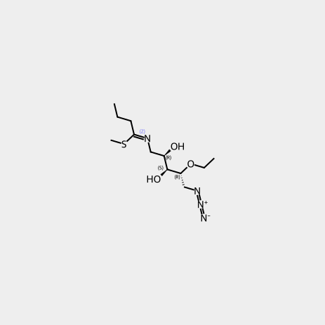 CCC/C(=N/C[C@@H](O)[C@H](O)[C@@H](CN=[N+]=[N-])OCC)SC